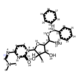 CN(C)/C=N\c1ccn(C2OC(C(O[SiH](c3ccccc3)c3ccccc3)C(C)(C)C)C(O)C2(C)O)c(=O)n1